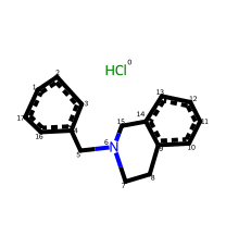 Cl.c1ccc(CN2CCc3ccccc3C2)cc1